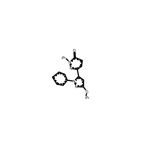 CC(C)Oc1cc(-c2ccc(=O)n(C(C)C)n2)n(-c2ccccc2)n1